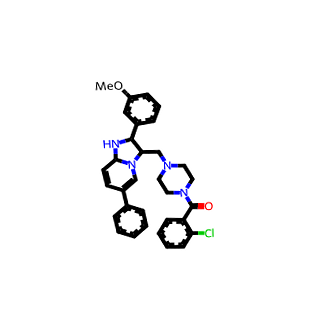 COc1cccc(C2NC3C=CC(c4ccccc4)=CN3C2CN2CCN(C(=O)c3ccccc3Cl)CC2)c1